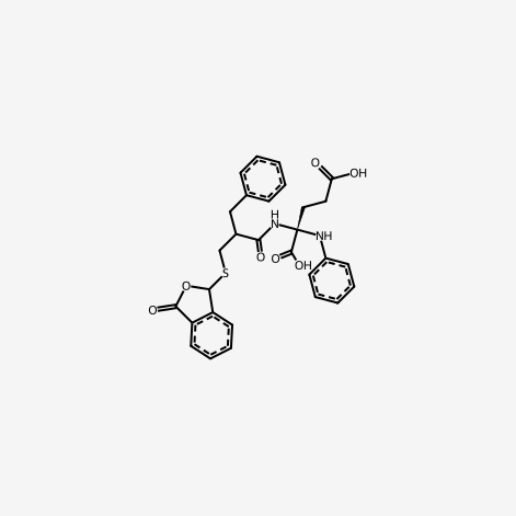 O=C(O)CC[C@@](NC(=O)C(CSC1OC(=O)c2ccccc21)Cc1ccccc1)(Nc1ccccc1)C(=O)O